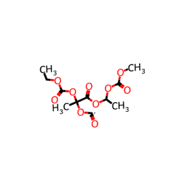 CCOC(=O)OC(C)(O[C]=O)C(=O)OC(C)OC(=O)OC